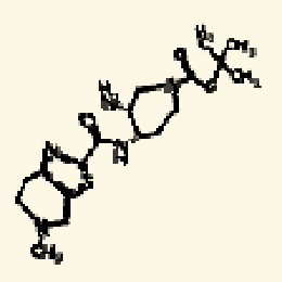 CN1CCc2nc(C(=O)N[C@H]3CCN(C(=O)OC(C)(C)C)C[C@H]3N)sc2C1